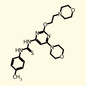 Cc1ccc(NC(=S)Nc2cc(N3CCOCC3)nc(OCCN3CCOCC3)n2)cc1